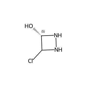 O[C@@H]1NNC1Cl